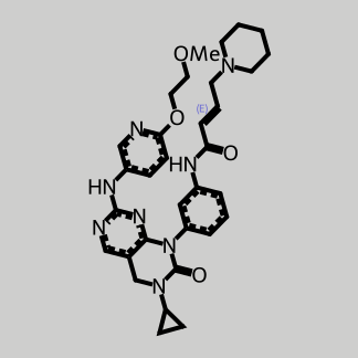 COCCOc1ccc(Nc2ncc3c(n2)N(c2cccc(NC(=O)/C=C/CN4CCCCC4)c2)C(=O)N(C2CC2)C3)cn1